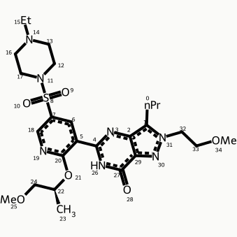 CCCc1c2nc(-c3cc(S(=O)(=O)N4CCN(CC)CC4)cnc3O[C@@H](C)COC)[nH]c(=O)c2nn1CCOC